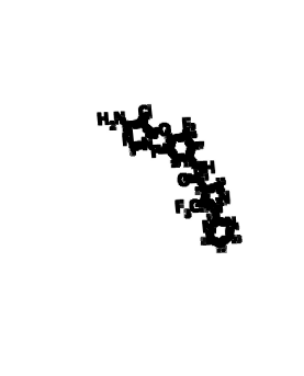 Nc1ncnc(Oc2c(F)cc(NC(=O)c3cnn(-c4ncccn4)c3C(F)(F)F)cc2F)c1Cl